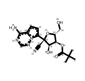 CC(C)(C)C(=O)O[C@H]1[C@@H](O)[C@](C#N)(c2ccc3c(N)ncnn23)O[C@@H]1CO